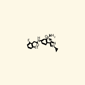 CCc1cccc(F)c1CC(=O)Nc1ccc(-c2cnn(C3CC3)c2)c(S(N)(=O)=O)c1